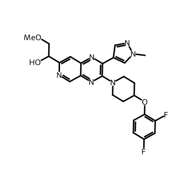 COCC(O)c1cc2nc(-c3cnn(C)c3)c(N3CCC(Oc4ccc(F)cc4F)CC3)nc2cn1